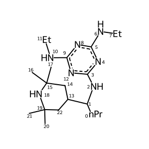 CCCC(Nc1nc(NCC)nc(NCC)n1)C1CC(C)(C)NC(C)(C)C1